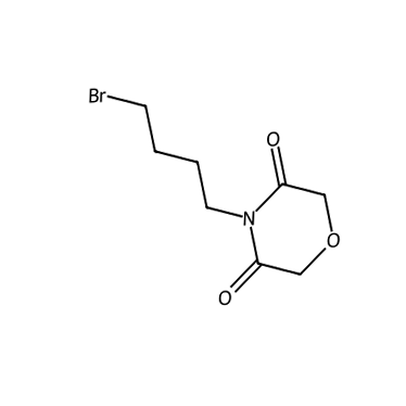 O=C1COCC(=O)N1CCCCBr